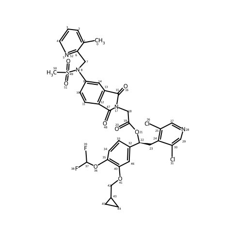 Cc1cccnc1CN(c1ccc2c(c1)C(=O)N(CC(=O)O[C@@H](Cc1c(Cl)cncc1Cl)c1ccc(OC(F)F)c(OCC3CC3)c1)C2=O)S(C)(=O)=O